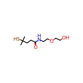 CC(C)(S)CCC(=O)NCCOCCO